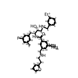 CCc1cccc(CNC[C@@H](O)[C@H](Cc2cc(F)cc(F)c2)NC(=O)c2cc(C)cc(CNCCc3ccco3)c2)c1.Cl.Cl